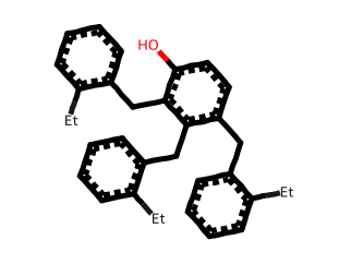 CCc1ccccc1Cc1ccc(O)c(Cc2ccccc2CC)c1Cc1ccccc1CC